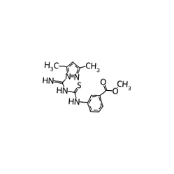 COC(=O)c1cccc(NC(=S)NC(=N)n2nc(C)cc2C)c1